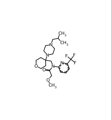 COCC(=O)N(CC1(N2CCN(CC(C)C)CC2)CCOCC1)c1cccc(C(F)(F)F)n1